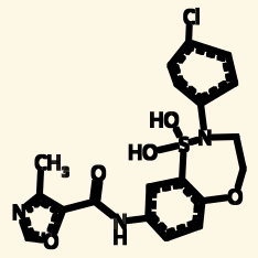 Cc1ncoc1C(=O)Nc1ccc2c(c1)S(O)(O)N(c1ccc(Cl)cc1)CCO2